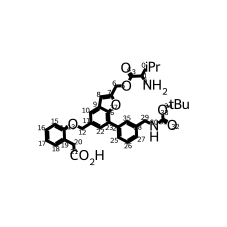 CC(C)C(N)C(=O)OCc1cc2cc(COc3ccccc3CC(=O)O)cc(-c3cccc(CNC(=O)OC(C)(C)C)c3)c2o1